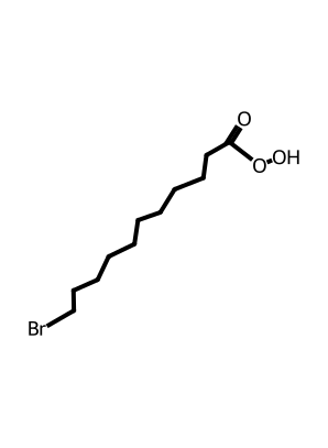 O=C(CCCCCCCCCCBr)OO